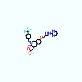 O=C(O)C[C@@H]1Cc2ccc(OCCCNc3ncccn3)cc2CN(Cc2ccc(C(F)(F)F)cc2)C1=O